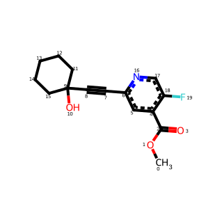 COC(=O)c1cc(C#CC2(O)CCCCC2)ncc1F